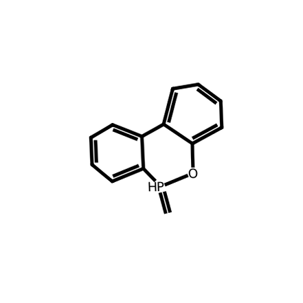 C=[PH]1Oc2ccccc2-c2ccccc21